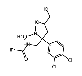 CC(C)C(=O)NCC(CC(O)CO)(c1ccc(Cl)c(Cl)c1)N(C)C(=O)O